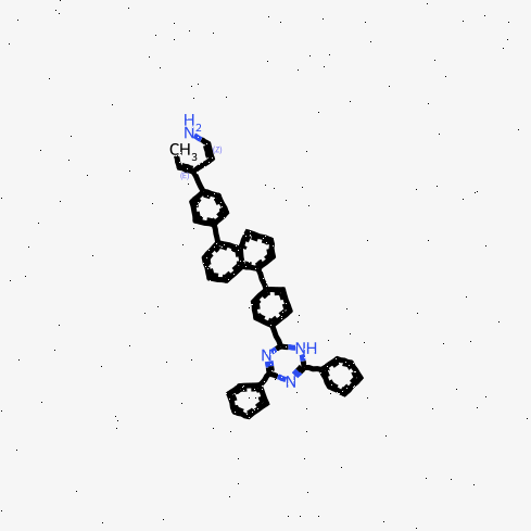 C/C=C(\C=C/N)c1ccc(-c2cccc3c(-c4ccc(C5N=C(c6ccccc6)N=C(c6ccccc6)N5)cc4)cccc23)cc1